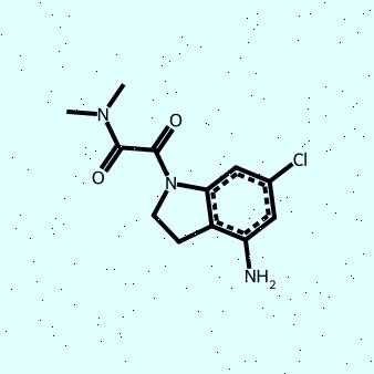 CN(C)C(=O)C(=O)N1CCc2c(N)cc(Cl)cc21